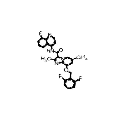 Cc1cc(OCc2c(F)cccc2F)c2nc(C)c(C(=O)Nc3ccnc4c(F)cccc34)n2c1